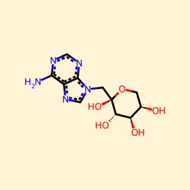 Nc1ncnc2c1ncn2C[C@]1(O)OC[C@@H](O)[C@@H](O)[C@@H]1O